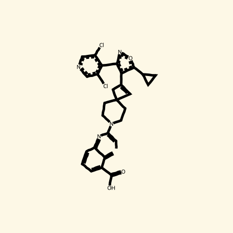 C=C1C(C(=O)O)=CC=C/C1=N/C(=C\C)N1CCC2(C=C(c3c(-c4c(Cl)cncc4Cl)noc3C3CC3)C2)CC1